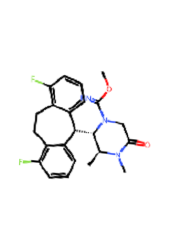 COC(=N)N1CC(=O)N(C)[C@@H](C)[C@@H]1C1c2cccc(F)c2CCc2c(F)cccc21